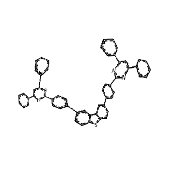 c1ccc(-c2cc(-c3ccccc3)nc(-c3ccc(-c4ccc5sc6ccc(-c7ccc(-c8nc(-c9ccccc9)cc(-c9ccccc9)n8)cc7)cc6c5c4)cc3)n2)cc1